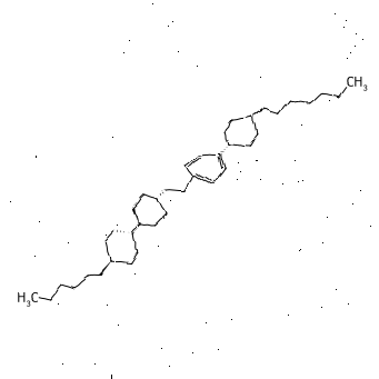 CCCCCCC[C@H]1CC[C@H](c2ccc(CC[C@H]3CC[C@H]([C@H]4CC[C@H](CCCCCC)CC4)CC3)cc2)CC1